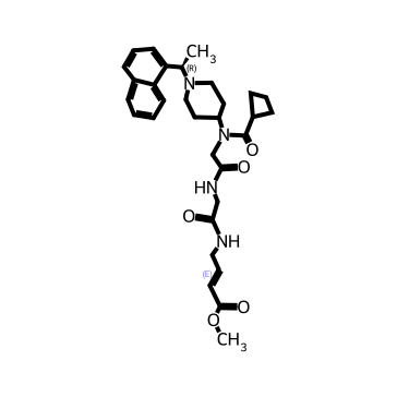 COC(=O)/C=C/CNC(=O)CNC(=O)CN(C(=O)C1CCC1)C1CCN([C@H](C)c2cccc3ccccc23)CC1